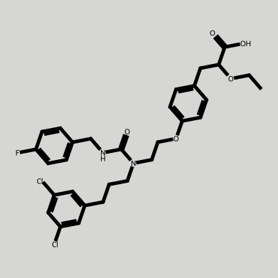 CCOC(Cc1ccc(OCCN(CCCc2cc(Cl)cc(Cl)c2)C(=O)NCc2ccc(F)cc2)cc1)C(=O)O